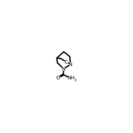 NC(=O)N1CC2CCN1CC2